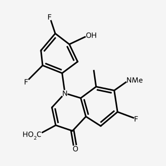 CNc1c(F)cc2c(=O)c(C(=O)O)cn(-c3cc(O)c(F)cc3F)c2c1C